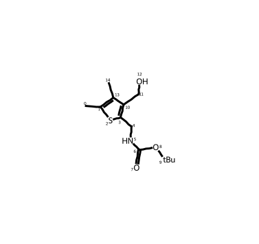 Cc1sc(CNC(=O)OC(C)(C)C)c(CO)c1C